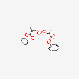 CC(=COOC=C(C)C(=O)Oc1ccccc1)C(=O)Oc1ccccc1